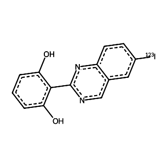 Oc1cccc(O)c1-c1ncc2cc([123I])ccc2n1